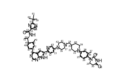 Cc1cc(-c2ncnc3[nH]c(-c4ccc(N5CCN(CC6CCN(c7ccc(N8CCC(=O)NC8=O)c(C)c7)CC6)CC5)cn4)cc23)ccc1C(C)NC(=O)c1nc(C(C)(C)C)no1